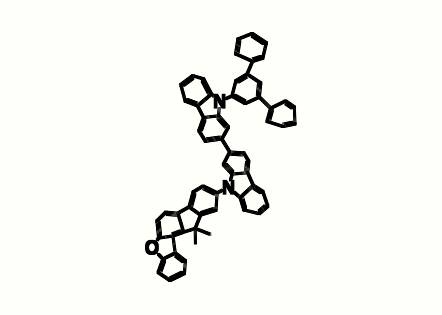 CC1(C)c2cc(-n3c4ccccc4c4ccc(-c5ccc6c7ccccc7n(-c7cc(-c8ccccc8)cc(-c8ccccc8)c7)c6c5)cc43)ccc2-c2ccc3oc4ccccc4c3c21